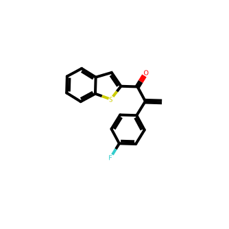 C=C(C(=O)c1cc2ccccc2s1)c1ccc(F)cc1